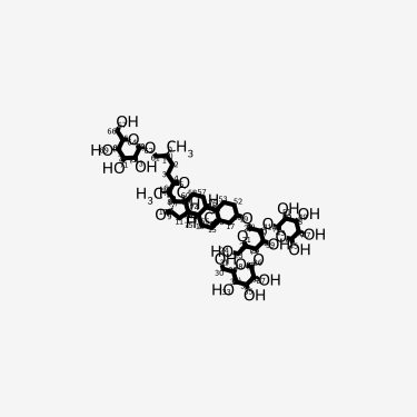 C[C@H](CCC(=O)[C@@H](C)[C@H]1C(=O)C[C@H]2[C@@H]3CC=C4CC(O[C@@H]5OC(CO)[C@@H](O[C@@H]6OC(CO)[C@@H](O)C(O)[C@@H]6O)C(O)[C@@H]5O[C@@H]5OC(O)[C@H](O)C(O)[C@@H]5O)CC[C@]4(C)[C@H]3CC[C@]12C)CO[C@@H]1OC(CO)[C@@H](O)C(O)[C@@H]1O